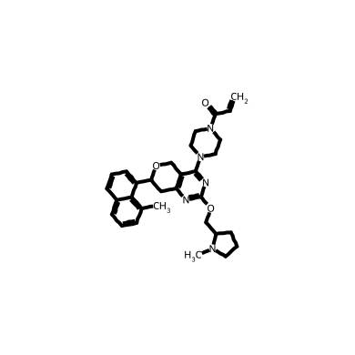 C=CC(=O)N1CCN(c2nc(OCC3CCCN3C)nc3c2COC(c2cccc4cccc(C)c24)C3)CC1